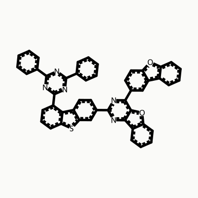 c1ccc(-c2nc(-c3ccccc3)nc(-c3cccc4sc5cc(-c6nc(-c7ccc8oc9ccccc9c8c7)c7oc8ccccc8c7n6)ccc5c34)n2)cc1